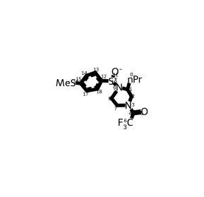 CCCC1CN(C(=O)C(F)(F)F)CCN1[S+]([O-])c1ccc(SC)cc1